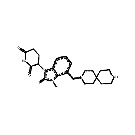 Cn1c(=O)n(C2CCC(=O)NC2=O)c2cccc(CN3CCC4(CCNCC4)CC3)c21